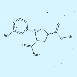 COC(=O)C1CN(C(=O)OC(C)(C)C)C[C@H]1c1cccc(O)c1